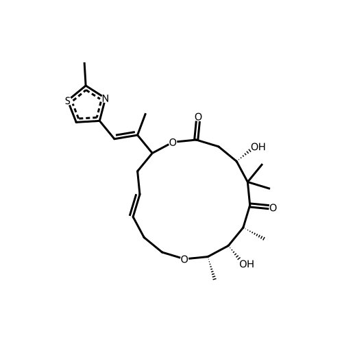 C/C(=C\c1csc(C)n1)C1C/C=C/CCO[C@@H](C)[C@@H](O)[C@@H](C)C(=O)C(C)(C)[C@@H](O)CC(=O)O1